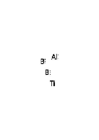 [Al].[B].[B].[Ti]